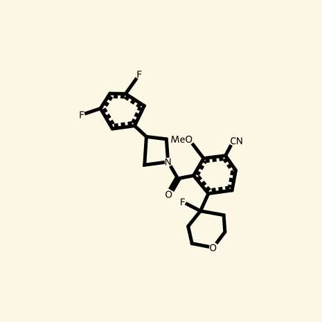 COc1c(C#N)ccc(C2(F)CCOCC2)c1C(=O)N1CC(c2cc(F)cc(F)c2)C1